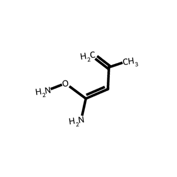 C=C(C)/C=C(/N)ON